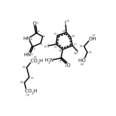 N=C1CCC(=O)N1.NC(=O)c1c(I)cc(I)cc1I.O=C(O)CCCC(=O)O.OCCO